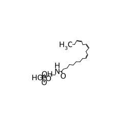 CC/C=C\C/C=C\C/C=C\CCCCCCCC(=O)NCCOP(=O)(O)O